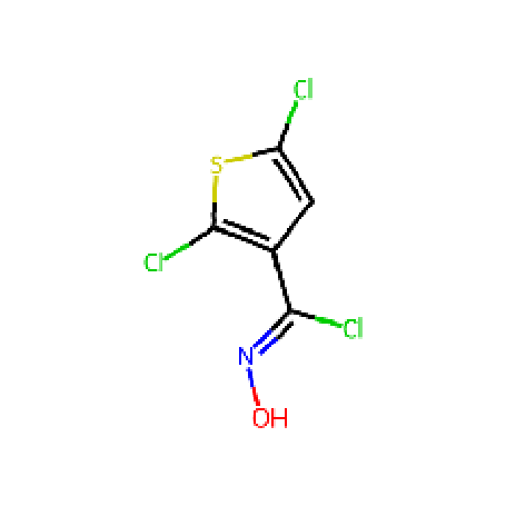 ON=C(Cl)c1cc(Cl)sc1Cl